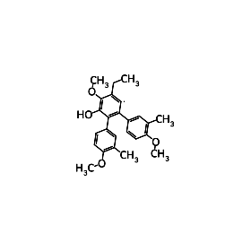 CCc1[c]c(-c2ccc(OC)c(C)c2)c(-c2ccc(OC)c(C)c2)c(O)c1OC